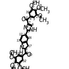 COc1cc(C(=O)c2c[nH]c(-c3ccc4c(c3)CC(C(=O)c3cc(OC)c(OC)c(OC)c3)N4)n2)cc(OC)c1OC